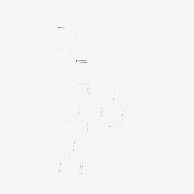 Cl.O=C(CN1C=CN(C(Cl)C(OCc2ccccc2)c2ccc(Cl)c(Cl)c2)C1)c1ccc(F)cc1